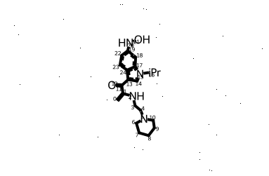 C=C(NCCN1CCCCC1)C(=O)c1cn(C(C)C)c2cc(NO)ccc12